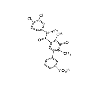 CCCN(C(=O)c1cc(-c2cccc(C(=O)O)c2)n(C)c(=O)c1O)c1ccc(Cl)c(Cl)c1